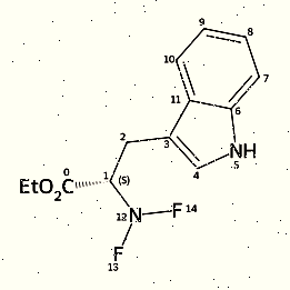 CCOC(=O)[C@H](Cc1c[nH]c2ccccc12)N(F)F